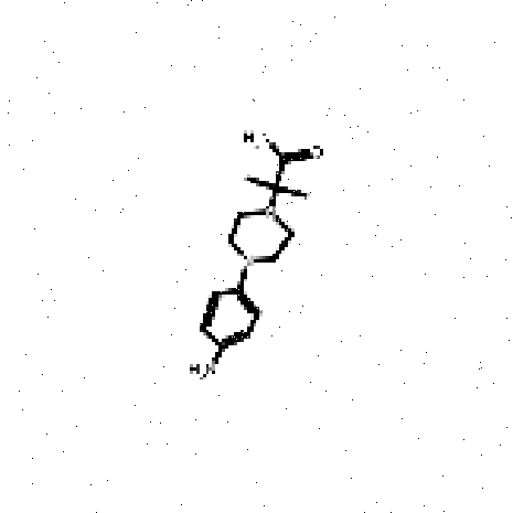 CC(C)(C(N)=O)N1CCN(c2ccc(N)cc2)CC1